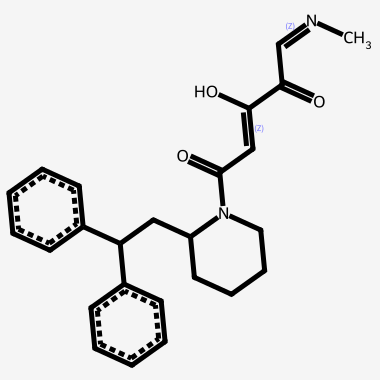 C/N=C\C(=O)/C(O)=C/C(=O)N1CCCCC1CC(c1ccccc1)c1ccccc1